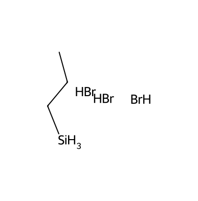 Br.Br.Br.CCC[SiH3]